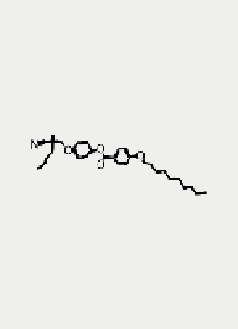 CCCCCCCCCCOc1ccc(C(=O)Oc2ccc(OCC(C)(C#N)CCCC)cc2)cc1